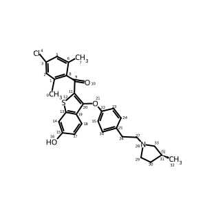 Cc1cc(Cl)cc(C)c1C(=O)c1sc2cc(O)ccc2c1Oc1ccc(CCN2CC[C@H](C)C2)cc1